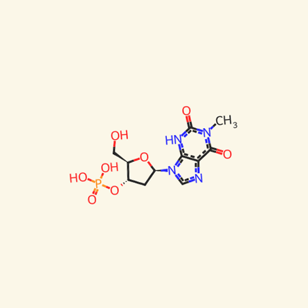 Cn1c(=O)[nH]c2c(ncn2[C@H]2C[C@H](OP(=O)(O)O)[C@@H](CO)O2)c1=O